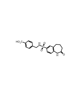 O=C1CCCc2cc(S(=O)(=O)NCc3ccc(C(=O)O)cc3)ccc2N1